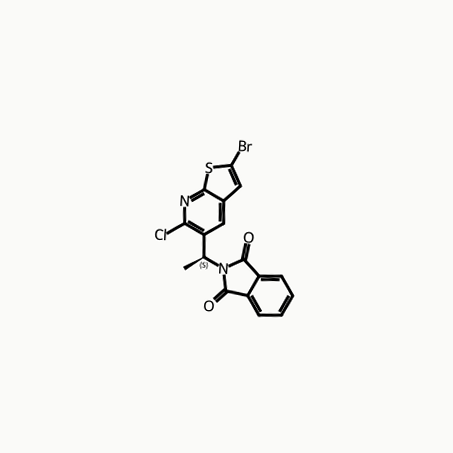 C[C@@H](c1cc2cc(Br)sc2nc1Cl)N1C(=O)c2ccccc2C1=O